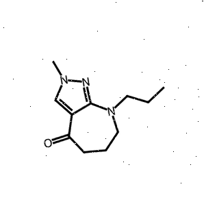 CCCN1CCCC(=O)c2cn(C)nc21